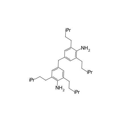 CC(C)CCc1cc(Cc2cc(CCC(C)C)c(N)c(CCC(C)C)c2)cc(CCC(C)C)c1N